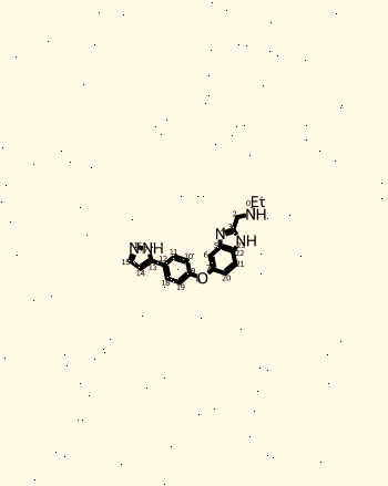 CCNCc1nc2cc(Oc3ccc(-c4ccn[nH]4)cc3)ccc2[nH]1